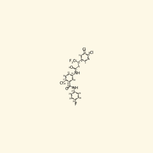 O=C(CC(c1ccc(Cl)c(Cl)c1)C(F)(F)F)Nc1ccc(Cl)c(C(=O)Nc2ccc(F)cc2)c1